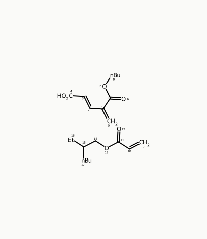 C=C(C=CC(=O)O)C(=O)OCCCC.C=CC(=O)OCC(CC)CCCC